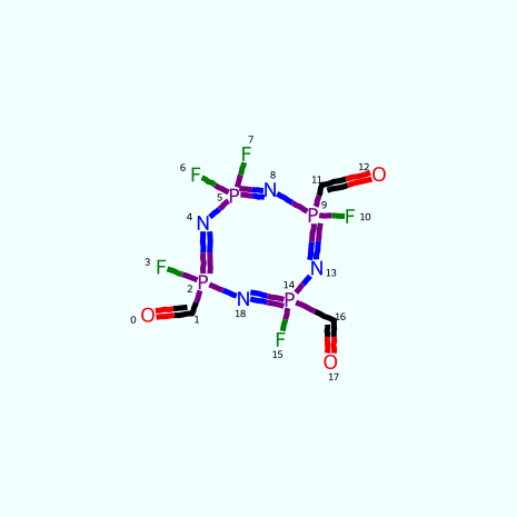 O=CP1(F)=NP(F)(F)=NP(F)(C=O)=NP(F)(C=O)=N1